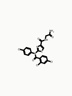 NC(=O)CNC(=O)c1csc(N(C(=O)c2ccc(Cl)cc2Cl)c2ccc(Cl)cc2)n1